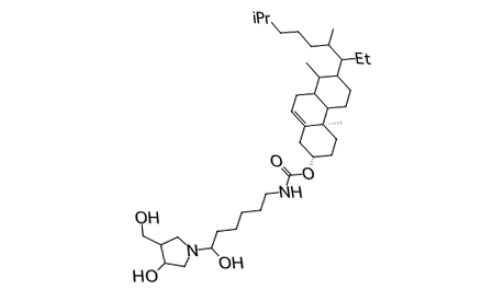 CCC(C(C)CCCC(C)C)C1CCC2C(CC=C3C[C@@H](OC(=O)NCCCCCC(O)N4CC(O)C(CO)C4)CC[C@@]32C)C1C